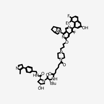 CCc1c(F)ccc2cc(O)cc(-c3ncc4c(N5CC6CCC(C5)N6)nc(OCCCN5CCN(C(=O)CCCCC(=O)N[C@H](C(=O)N6C[C@H](O)C[C@H]6C(=O)NCc6ccc(C7=C(C)N=CC7)cc6)C(C)(C)C)CC5)cc4c3F)c12